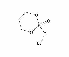 CCOP1(=O)OCCCO1